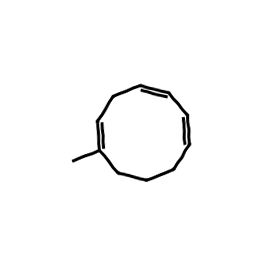 CC1=CCC=CC=CCCC1